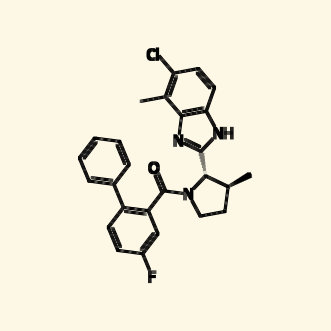 Cc1c(Cl)ccc2[nH]c([C@@H]3[C@@H](C)CCN3C(=O)c3cc(F)ccc3-c3ccccc3)nc12